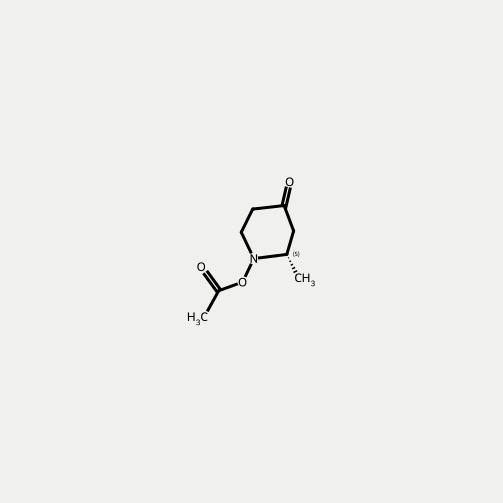 CC(=O)ON1CCC(=O)C[C@@H]1C